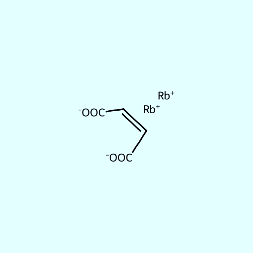 O=C([O-])/C=C\C(=O)[O-].[Rb+].[Rb+]